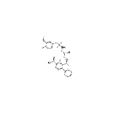 COc1cc(CC(C)(C)NC[C@H](O)COC(C)c2c(-c3ccccc3)ccc(C(=O)O)c2C)ccc1C